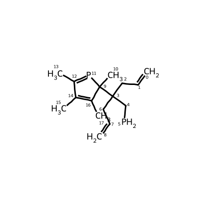 C=CCC(CP)(CC=C)C1(C)P=C(C)C(C)=C1C